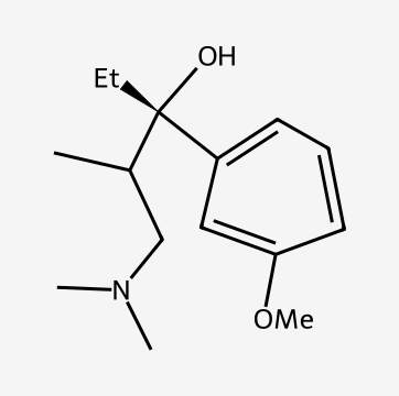 CC[C@@](O)(c1cccc(OC)c1)C(C)CN(C)C